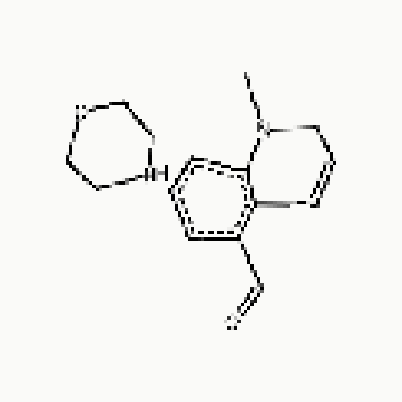 C1COCCN1.CN1CC=Cc2c(C=O)cccc21